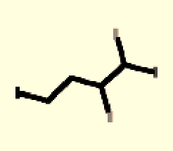 ICCC(I)C(I)I